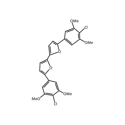 COc1cc(-c2ccc(-c3ccc(-c4cc(OC)c(Cl)c(OC)c4)o3)o2)cc(OC)c1Cl